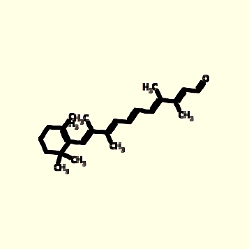 CC1=C(/C=C(C)/C(C)=C/C=C/C=C(C)/C(C)=C/C=O)C(C)(C)CCC1